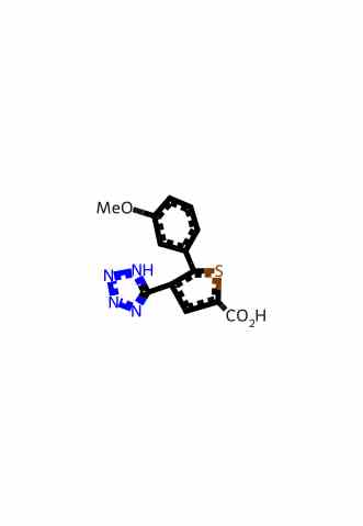 COc1cccc(-c2sc(C(=O)O)cc2-c2nnn[nH]2)c1